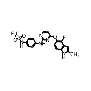 Cc1cc2c(F)c(Oc3ccnc(Nc4ccc(NS(=O)(=O)C(F)(F)F)cc4)n3)ccc2[nH]1